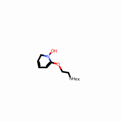 CCCCCCCCOC1=CC=CCN1O